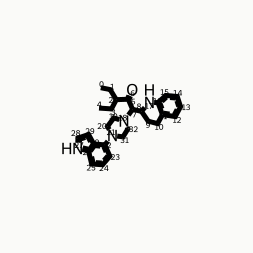 CCC(CC)C(=O)C(C1CCc2ccccc2N1)N1CCN(c2cccc3[nH]ccc23)CC1